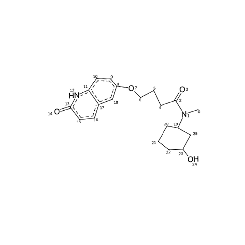 CN(C(=O)CCCOc1ccc2[nH]c(=O)ccc2c1)C1CCCC(O)C1